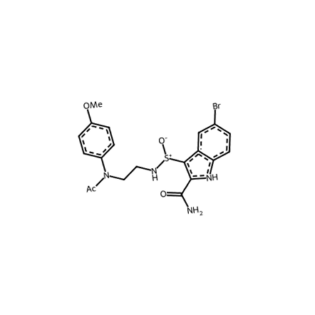 COc1ccc(N(CCN[S+]([O-])c2c(C(N)=O)[nH]c3ccc(Br)cc23)C(C)=O)cc1